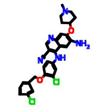 CN1CCC(Oc2cc3ncc(C#N)c(Nc4ccc(OCc5cccc(Cl)c5)c(Cl)c4)c3cc2N)CC1